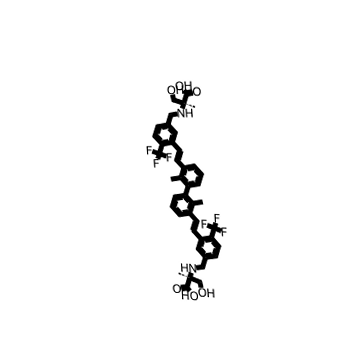 Cc1c(/C=C/c2cc(CN[C@@](C)(CO)C(=O)O)ccc2C(F)(F)F)cccc1-c1cccc(/C=C/c2cc(CN[C@@](C)(CO)C(=O)O)ccc2C(F)(F)F)c1C